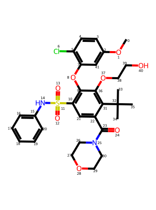 COc1ccc(Cl)c(Oc2c(S(=O)(=O)Nc3ccccc3)cc(C(=O)N3CCOCC3)c(C(C)(C)C)c2OCCO)c1